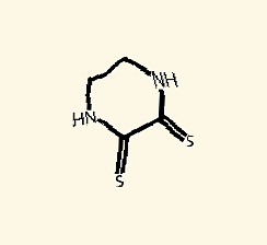 S=C1NCCNC1=S